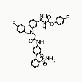 N=C(NC(=O)Oc1ccc(F)cc1)c1cccc(N(CC(=O)Nc2ccc(-c3ccccc3S(N)(=O)=O)cc2)Cc2ccc(F)cc2)c1